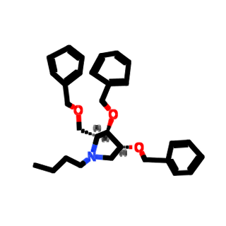 CCCCN1C[C@@H](OCc2ccccc2)[C@H](OCc2ccccc2)[C@H]1COCc1ccccc1